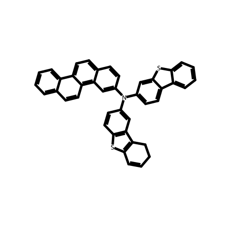 C1=Cc2sc3ccc(N(c4ccc5c(c4)sc4ccccc45)c4ccc5ccc6c7ccccc7ccc6c5c4)cc3c2CC1